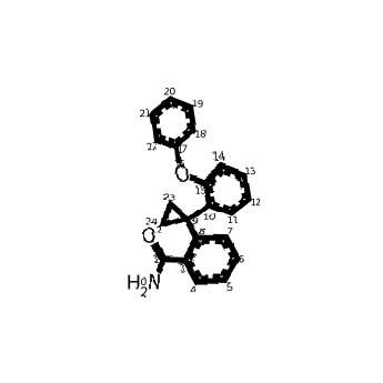 NC(=O)c1ccccc1C1(c2ccccc2Oc2ccccc2)CC1